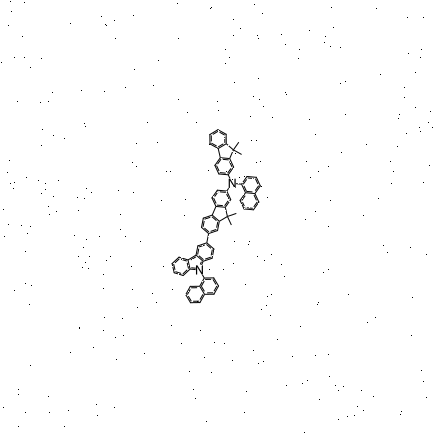 CC1(C)c2ccccc2-c2ccc(N(c3ccc4c(c3)C(C)(C)c3cc(-c5ccc6c(c5)c5ccccc5n6-c5cccc6ccccc56)ccc3-4)c3cccc4ccccc34)cc21